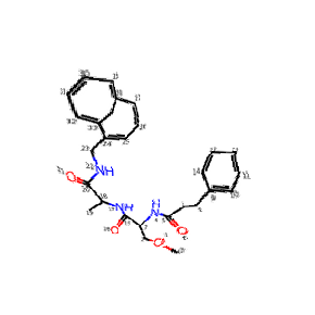 COCC(NC(=O)CCc1ccccc1)C(=O)NC(C)C(=O)NCc1cccc2ccccc12